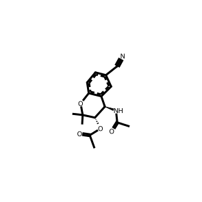 CC(=O)N[C@@H]1c2cc(C#N)ccc2OC(C)(C)[C@H]1OC(C)=O